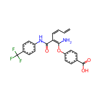 C=C/C=C\C(C(=O)Nc1ccc(C(F)(F)F)cc1)=C(/N)Oc1ccc(C(=O)O)cc1